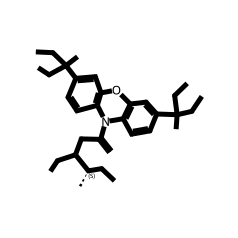 C=C(CC(CC)[C@@H](C)CC)N1c2ccc(C(C)(CC)CC)cc2Oc2cc(C(C)(CC)CC)ccc21